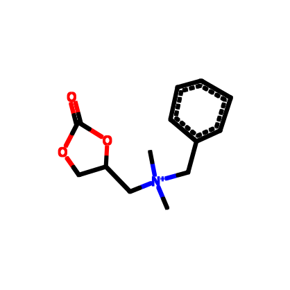 C[N+](C)(Cc1ccccc1)CC1COC(=O)O1